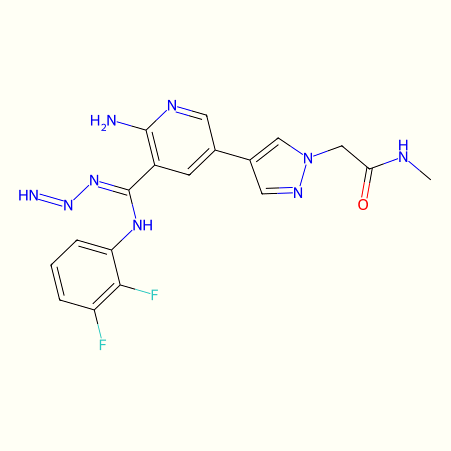 CNC(=O)Cn1cc(-c2cnc(N)c(/C(=N/N=N)Nc3cccc(F)c3F)c2)cn1